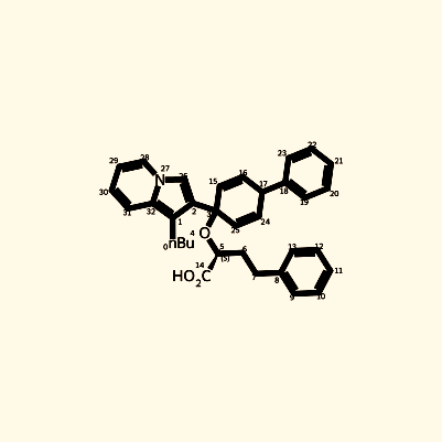 CCCCc1c(C2(O[C@@H](CCc3ccccc3)C(=O)O)C=CC(c3ccccc3)C=C2)cn2ccccc12